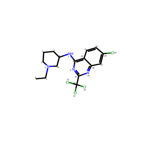 CCN1CCCC(Nc2nc(C(Cl)(Cl)Cl)nc3cc(Cl)ccc23)C1